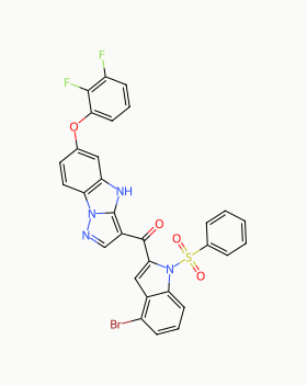 O=C(c1cnn2c1[nH]c1cc(Oc3cccc(F)c3F)ccc12)c1cc2c(Br)cccc2n1S(=O)(=O)c1ccccc1